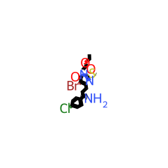 CCOC(=O)Cn1c(SC)nc(CC[C@@H](N)c2ccc(Cl)cc2)c(Br)c1=O